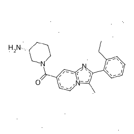 CCc1ccccc1-c1nc2cc(C(=O)N3CCC[C@@H](N)C3)ccn2c1C